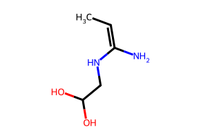 CC=C(N)NCC(O)O